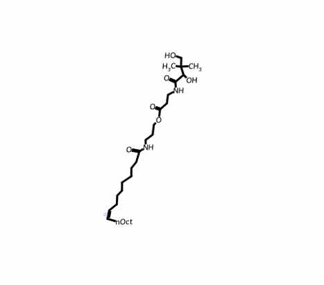 CCCCCCCC/C=C\CCCCCCCC(=O)NCCCOC(=O)CCNC(=O)C(O)C(C)(C)CO